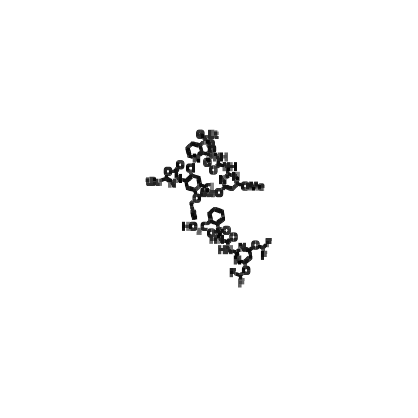 C#CCOc1cc(-n2nc(C(C)(C)C)oc2=O)c(Cl)cc1Cl.CCS(=O)(=O)c1cccnc1S(=O)(=O)NC(=O)Nc1nc(OC)cc(OC)n1.O=C(Nc1nc(OC(F)F)cc(OC(F)F)n1)NS(=O)(=O)c1ccccc1C(=O)O